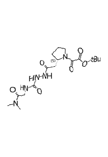 CN(C)C(=O)CNC(=O)NNC(=O)C[C@@H]1CCCN1C(=O)C(=O)OC(C)(C)C